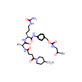 CC(C)[C@H](NC(=O)CCC(=O)N1CCC(C(=O)O)CC1)C(=O)N[C@@H](CCCNC(N)=O)C(=O)Nc1ccc(COC(=O)NCC(=O)C(C)(C)C)cc1